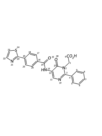 O=C(O)Cn1c(-c2ccccc2)ncc(NC(=O)c2ccc(-c3nccs3)cc2)c1=O